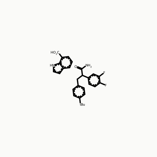 CC(C)(C)c1ccc(CC(C(N)=O)c2ccc(F)c(F)c2)cc1.O=C(O)c1cccc2cc[nH]c12